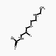 CCNCCOCC(F)CNC(=O)S